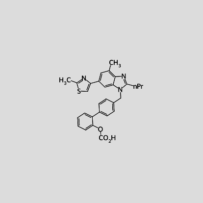 CCCc1nc2c(C)cc(-c3csc(C)n3)cc2n1Cc1ccc(-c2ccccc2OC(=O)O)cc1